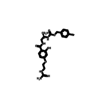 N=C(N)NCCOc1ccc(C(=O)NC[C@H](NC(=O)OCc2ccc(Br)cc2)C(=O)O)c(O)c1